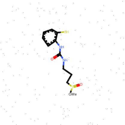 COS(=O)CCCNC(=O)Nc1ccccc1S